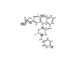 C[C@@H]1CN([C@H](c2cccc(O[Si](C)(C)C(C)(C)C)c2)c2ccccc2C#N)[C@@H](C)CN1Cc1ccc(F)cc1